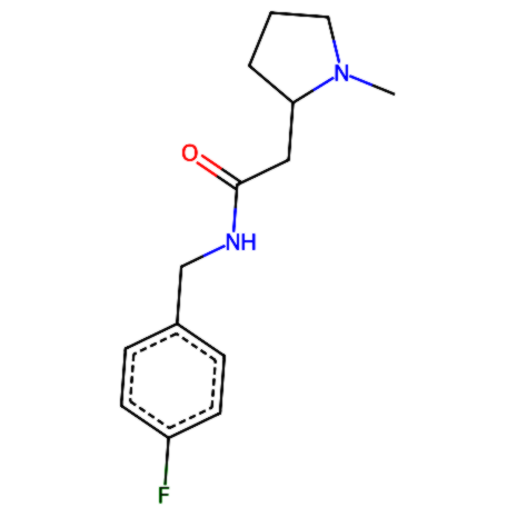 CN1CCCC1CC(=O)NCc1ccc(F)cc1